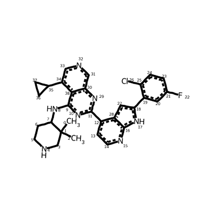 CC1(C)CNCCC1Nc1nc(-c2ccnc3[nH]c(-c4cc(F)ccc4Cl)cc23)nc2cncc(C3CC3)c12